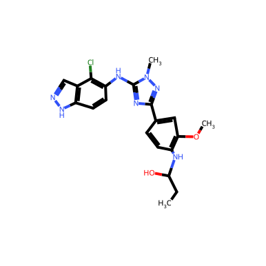 CCC(O)Nc1ccc(-c2nc(Nc3ccc4[nH]ncc4c3Cl)n(C)n2)cc1OC